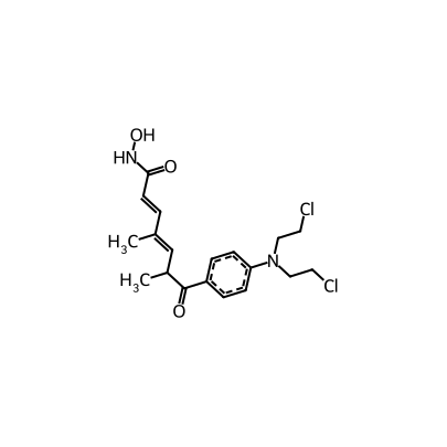 CC(/C=C/C(=O)NO)=C\C(C)C(=O)c1ccc(N(CCCl)CCCl)cc1